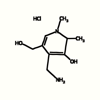 CC1C(O)=C(CN)C(CO)=CN1C.Cl